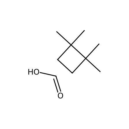 CC1(C)CCC1(C)C.O=CO